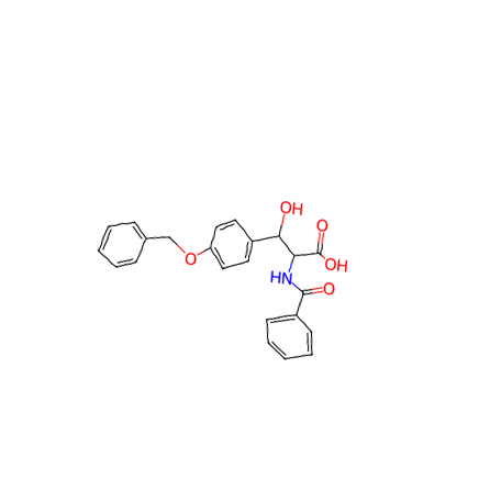 O=C(NC(C(=O)O)C(O)c1ccc(OCc2ccccc2)cc1)c1ccccc1